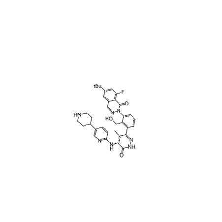 Cc1c(-c2cccc(-n3ncc4cc(C(C)(C)C)cc(F)c4c3=O)c2CO)n[nH]c(=O)c1Nc1ccc(C2CCNCC2)cn1